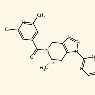 Cc1cc(C(=O)N2Cc3nnn(-c4ncccn4)c3C[C@@H]2C)cc(Cl)n1